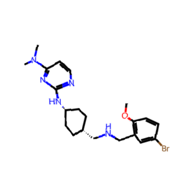 COc1ccc(Br)cc1CNC[C@H]1CC[C@@H](Nc2nccc(N(C)C)n2)CC1